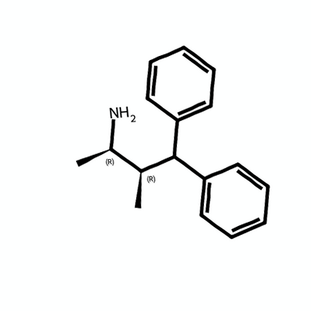 C[C@H](C(c1ccccc1)c1ccccc1)[C@@H](C)N